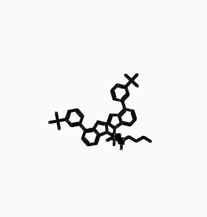 CCCC[Si](C)=[Hf]([CH3])([CH3])([CH]1C=Cc2c(-c3cccc(C(C)(C)C)c3)cccc21)[CH]1C=Cc2c(-c3cccc(C(C)(C)C)c3)cccc21